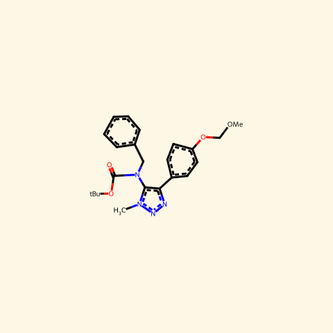 COCOc1ccc(-c2nnn(C)c2N(Cc2ccccc2)C(=O)OC(C)(C)C)cc1